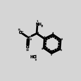 Cl.NC(c1ccccc1)[N+](=O)[O-]